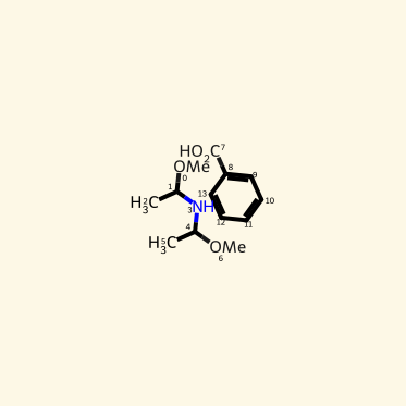 COC(C)NC(C)OC.O=C(O)c1ccccc1